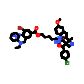 CCN(Cc1cc(C(=O)OCCCCCNC(=O)C2(C(=O)c3ccc(Cl)cc3)C=NC2(C)c2cc3cc(OC)ccc3[nH]2)cc(Br)c1N)C1CCCCC1